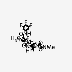 CNC(=O)C(=O)N1C[C@@H]2[C@H](C1)[C@@H]2NS(=O)(=O)c1cn(C)c(C(=O)Nc2cc(F)c(F)c(F)c2)c1F